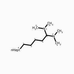 CCCCCCCCCCCC(N(C)C)N(C)C